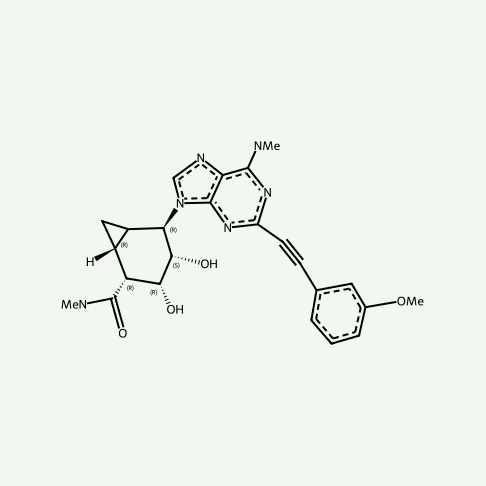 CNC(=O)[C@H]1[C@@H](O)[C@@H](O)[C@H](n2cnc3c(NC)nc(C#Cc4cccc(OC)c4)nc32)C2C[C@H]21